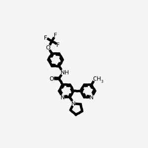 Cc1cncc(-c2cc(C(=O)Nc3ccc(OC(F)(F)F)cc3)cnc2N2CCCC2)c1